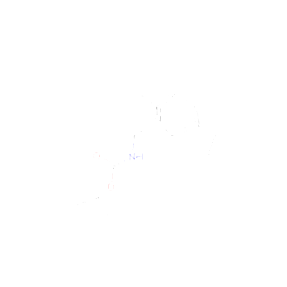 Cc1ccc(C(C)C)cc1CNC(=O)OC(C)(C)C